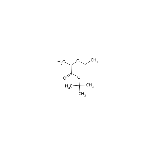 [CH2]C(OCC)C(=O)OC(C)(C)C